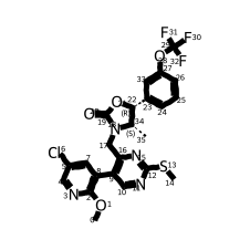 COc1ncc(Cl)cc1-c1cnc(SC)nc1CN1C(=O)O[C@H](c2cccc(OC(F)(F)F)c2)[C@@H]1C